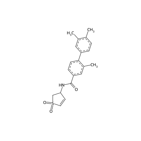 Cc1ccc(-c2ccc(C(=O)NC3C=CS(=O)(=O)C3)cc2C)cc1C